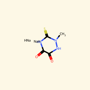 Cn1[nH]c(=O)c(=O)[nH]c1=S.[NaH].[NaH]